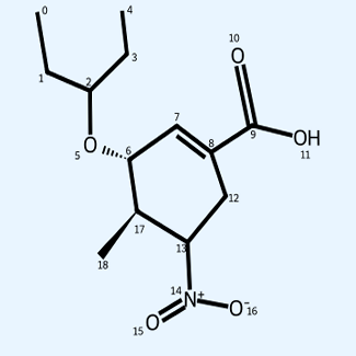 CCC(CC)O[C@@H]1C=C(C(=O)O)CC([N+](=O)[O-])[C@H]1C